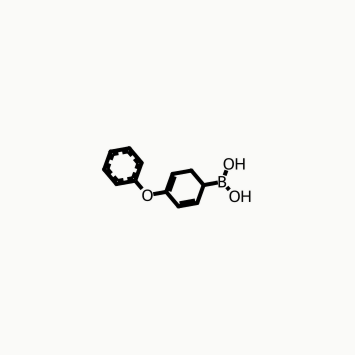 OB(O)C1C=CC(Oc2ccccc2)=CC1